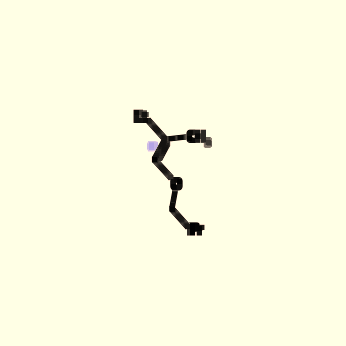 CC/C(C)=C/OCC(C)C